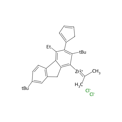 CCc1c(C2=CC=CC2)c(C(C)(C)C)[c]([Zr+2]=[C](C)C)c2c1-c1ccc(C(C)(C)C)cc1C2.[Cl-].[Cl-]